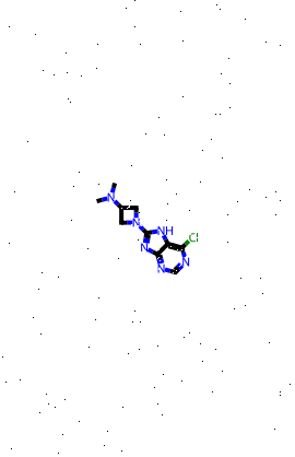 CN(C)C1CN(c2nc3ncnc(Cl)c3[nH]2)C1